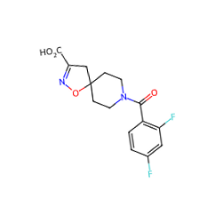 O=C(O)C1=NOC2(CCN(C(=O)c3ccc(F)cc3F)CC2)C1